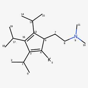 CC(C)C1=[C]([K])C(CCN(C)C)C(C(C)C)=C1C(C)C